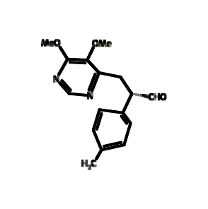 COc1ncnc(C[C@H](C=O)c2ccc(C)cc2)c1OC